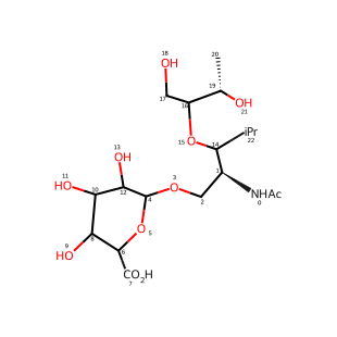 CC(=O)N[C@@H](COC1OC(C(=O)O)C(O)C(O)C1O)C(OC(CO)[C@H](C)O)C(C)C